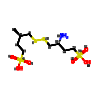 C[C@H](CCS(=O)(=O)O)CSSC[C@H](N)CCS(=O)(=O)O